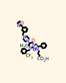 Cc1c(N2CCN(Cc3cccc(-c4ncco4)c3)CC2)c(=O)n(C[C@H](NCCCC(=O)O)c2ccccc2)c(=O)n1Cc1c(F)cccc1C(F)(F)F